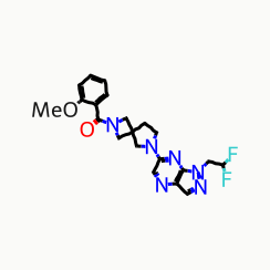 COc1ccccc1C(=O)N1CC2(CCN(c3cnc4cnn(CC(F)F)c4n3)C2)C1